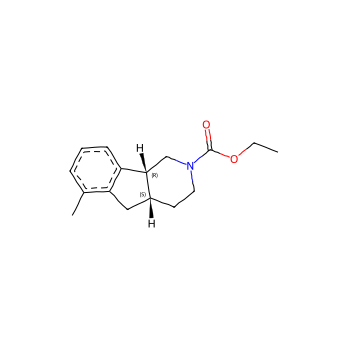 CCOC(=O)N1CC[C@@H]2Cc3c(C)cccc3[C@@H]2C1